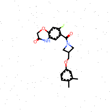 Cc1ccc(OCC2CN(C(=O)c3cc4c(cc3F)OCC(=O)N4)C2)cc1C